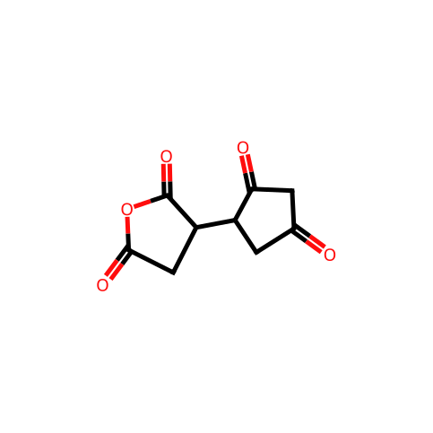 O=C1CC(=O)C(C2CC(=O)OC2=O)C1